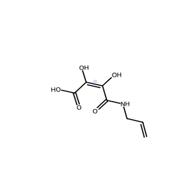 C=CCNC(=O)/C(O)=C(/O)C(=O)O